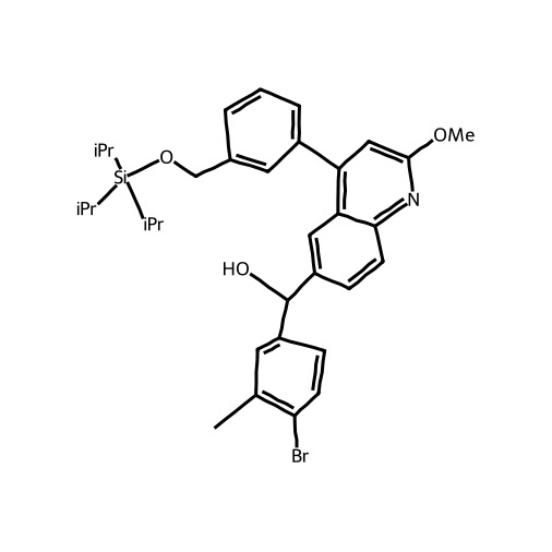 COc1cc(-c2cccc(CO[Si](C(C)C)(C(C)C)C(C)C)c2)c2cc(C(O)c3ccc(Br)c(C)c3)ccc2n1